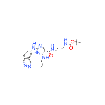 CCCNC1NC(Nc2ccc3cnncc3c2)=NC=C1C(=O)NCCCNC(=O)OC(C)(C)C